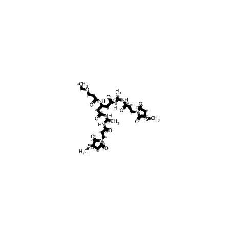 CCOCCC(=O)NC(CC(=O)NC(C)NC(=O)CCN1C(=O)CC(SC)C1=O)CC(=O)NC(C)NC(=O)CCN1C(=O)CC(SC)C1=O